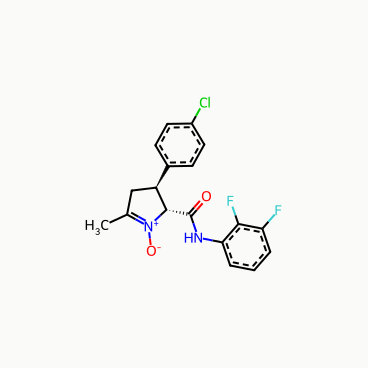 CC1=[N+]([O-])[C@@H](C(=O)Nc2cccc(F)c2F)[C@H](c2ccc(Cl)cc2)C1